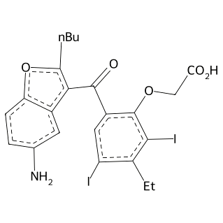 CCCCc1oc2ccc(N)cc2c1C(=O)c1cc(I)c(CC)c(I)c1OCC(=O)O